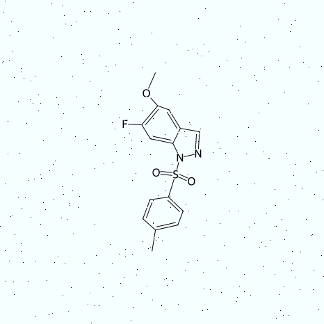 COc1cc2cnn(S(=O)(=O)c3ccc(C)cc3)c2cc1F